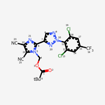 CC(C)(C)C(=O)OCn1c(-c2cnn(-c3c(Cl)cc(C(F)(F)F)cc3Cl)n2)nc(C#N)c1C#N